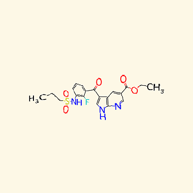 CCCS(=O)(=O)Nc1cccc(C(=O)c2c[nH]c3ncc(C(=O)OCC)cc23)c1F